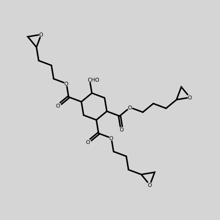 O=CC1CC(C(=O)OCCCC2CO2)C(C(=O)OCCCC2CO2)CC1C(=O)OCCCC1CO1